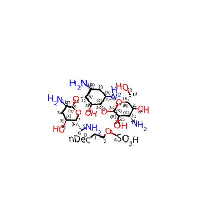 CCCCCCCCCCCCOS(=O)(=O)O.NC[C@H]1O[C@H](O[C@H]2[C@H](O)[C@@H](O[C@H]3O[C@H](CO)[C@@H](O)[C@H](N)[C@H]3O)[C@H](N)C[C@@H]2N)[C@H](N)C[C@@H]1O